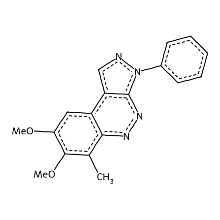 COc1cc2c(nnc3c2cnn3-c2ccccc2)c(C)c1OC